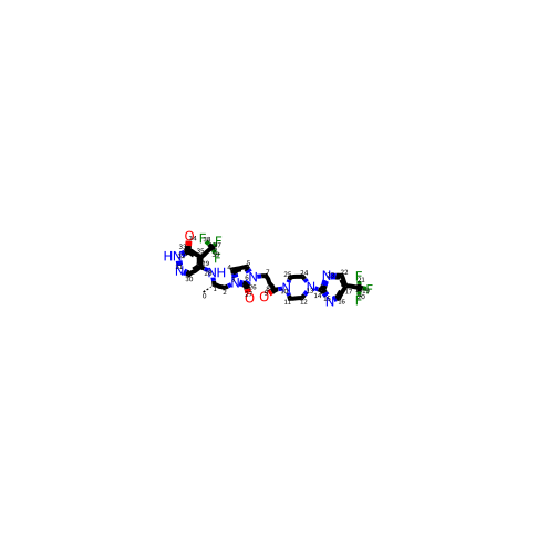 C[C@@H](Cn1ccn(CC(=O)N2CCN(c3ncc(C(F)(F)F)cn3)CC2)c1=O)Nc1cn[nH]c(=O)c1C(F)(F)F